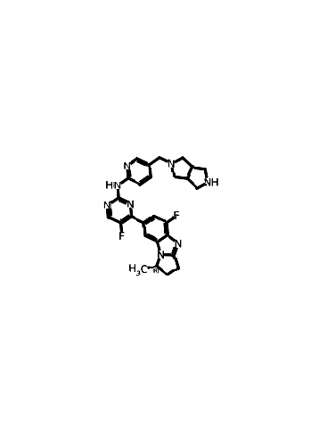 C[C@@H]1CCc2nc3c(F)cc(-c4nc(Nc5ccc(CN6CC7CNCC7C6)cn5)ncc4F)cc3n21